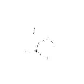 [2H]N[C@@H](CO)C(=O)O